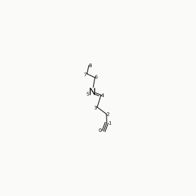 C#CCCC=NCCC